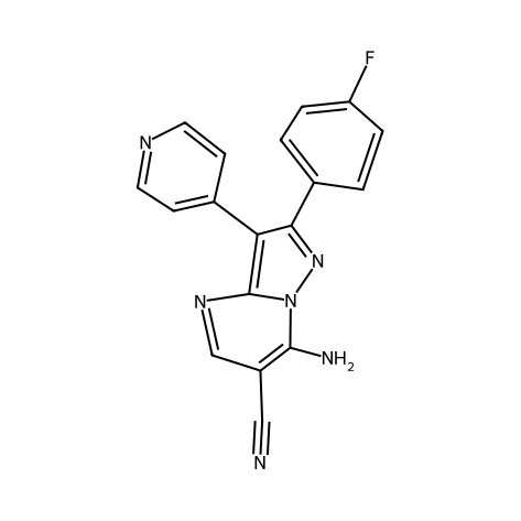 N#Cc1cnc2c(-c3ccncc3)c(-c3ccc(F)cc3)nn2c1N